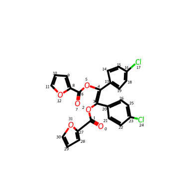 O=C(OC(=C(OC(=O)c1ccco1)c1ccc(Cl)cc1)c1ccc(Cl)cc1)c1ccco1